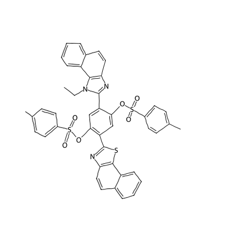 CCn1c(-c2cc(OS(=O)(=O)c3ccc(C)cc3)c(-c3nc4ccc5ccccc5c4s3)cc2OS(=O)(=O)c2ccc(C)cc2)nc2ccc3ccccc3c21